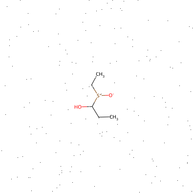 CCC(O)[S+]([O-])CC